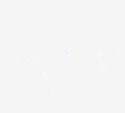 CC(C)(C)OC(=O)c1cccc(N(Cc2c(F)cccc2F)c2ccc(OC(F)F)c(OC(F)F)c2)c1